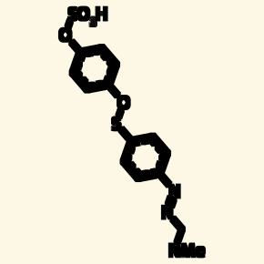 CNCN=Nc1ccc(SOc2ccc(OS(=O)(=O)O)cc2)cc1